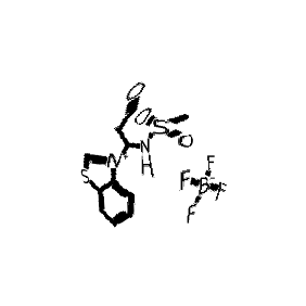 CS(=O)(=O)NC(CC=O)[n+]1csc2ccccc21.F[B-](F)(F)F